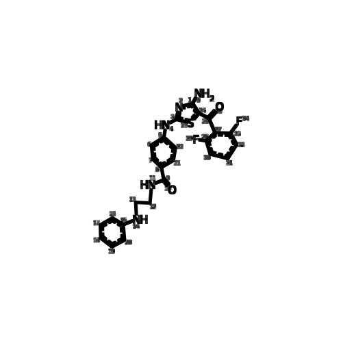 Nc1nc(Nc2ccc(C(=O)NCCNc3ccccc3)cc2)sc1C(=O)c1c(F)cccc1F